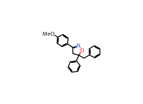 COc1ccc(C2=NOC(Cc3ccccc3)(c3ccccc3)C2)cc1